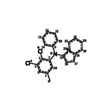 Cc1cc(Cl)c(Cl)c(N(c2ccccc2)c2ccc3ccccn23)c1